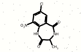 CC1NC(=O)c2cc(Cl)cc([N+](=O)[O-])c2NC1=O